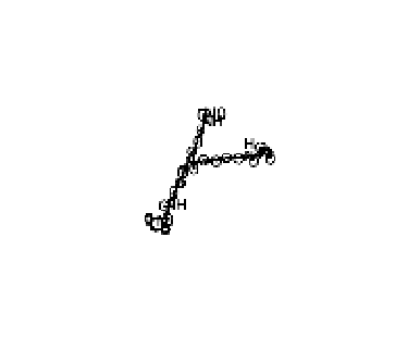 O=NC(=O)NCCOCCOCCOCCN(CCOCCOCCOCCNC(=O)CCC(=O)N1Cc2ccccc2C#Cc2ccccc21)C(=O)CCOCCOCCOCCOCCNC(=O)CCN1C(=O)C=CC1=O